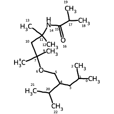 CC(C)CC(COC(C)(C)CC(C)(C)NC(=O)C(C)C)C(C)C